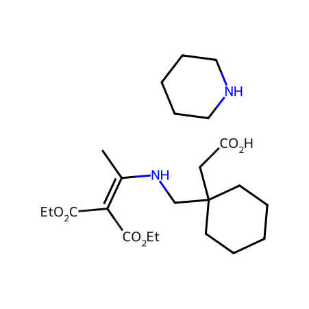 C1CCNCC1.CCOC(=O)C(C(=O)OCC)=C(C)NCC1(CC(=O)O)CCCCC1